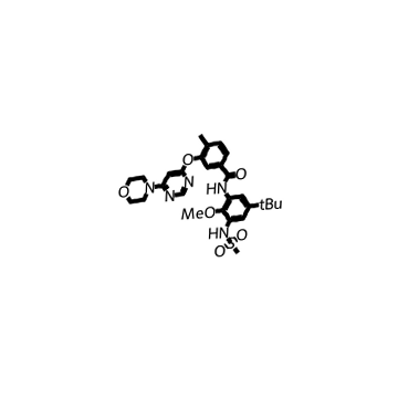 COc1c(NC(=O)c2ccc(C)c(Oc3cc(N4CCOCC4)ncn3)c2)cc(C(C)(C)C)cc1NS(C)(=O)=O